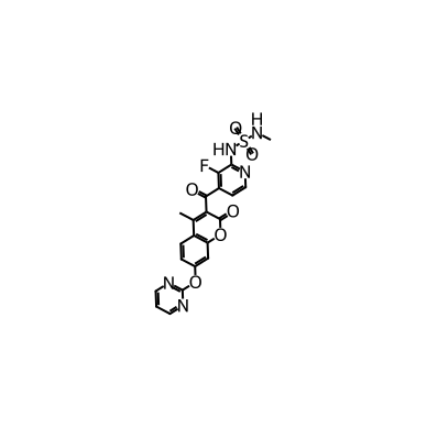 CNS(=O)(=O)Nc1nccc(C(=O)c2c(C)c3ccc(Oc4ncccn4)cc3oc2=O)c1F